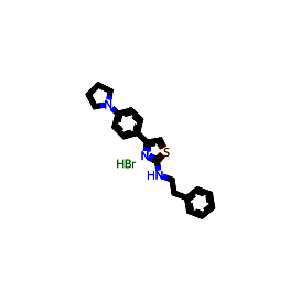 Br.c1ccc(CCNc2nc(-c3ccc(N4CCCC4)cc3)cs2)cc1